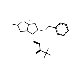 CCCCC(F)(F)C(=O)/C=C/[C@@H]1[C@H]2CC(O)O[C@H]2C[C@H]1OCc1ccccc1